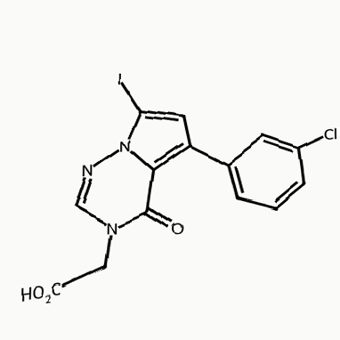 O=C(O)Cn1cnn2c(I)cc(-c3cccc(Cl)c3)c2c1=O